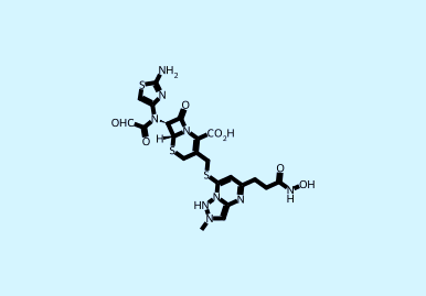 CN1C=C2N=C(CCC(=O)NO)C=C(SCC3=C(C(=O)O)N4C(=O)[C@@H](N(C(=O)C=O)c5csc(N)n5)[C@H]4SC3)N2N1